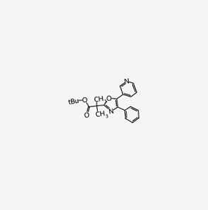 CC(C)(C)OC(=O)C(C)(C)c1nc(-c2ccccc2)c(-c2cccnc2)o1